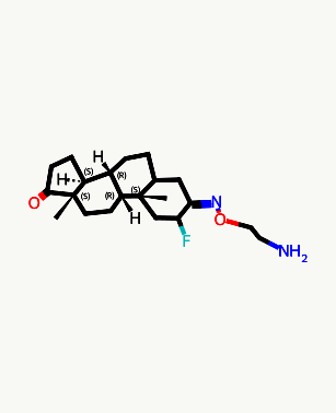 C[C@]12CC(F)C(=NOCCN)CC1CC[C@@H]1[C@H]2CC[C@]2(C)C(=O)CC[C@@H]12